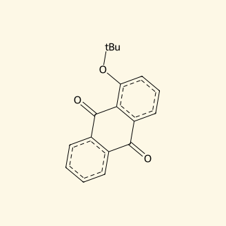 CC(C)(C)Oc1cccc2c1C(=O)c1ccccc1C2=O